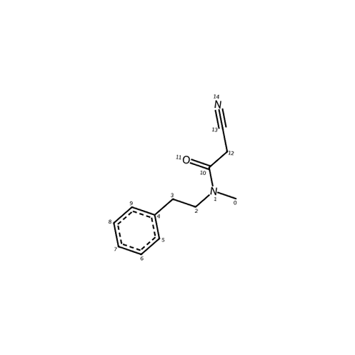 CN(CCc1ccccc1)C(=O)CC#N